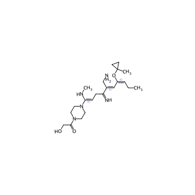 CC/C=C(\C=C(/CN)C(=N)C/C=C(\NC)N1CCN(C(=O)CO)CC1)OC1(C)CC1